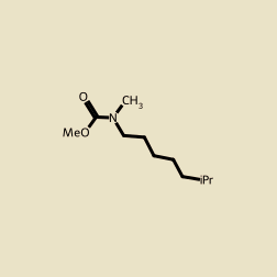 COC(=O)N(C)CCCCCC(C)C